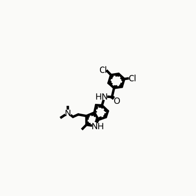 Cc1[nH]c2ccc(NC(=O)c3cc(Cl)cc(Cl)c3)cc2c1CCN(C)C